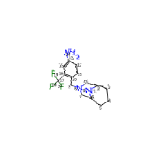 CN1C2CCCC1CN(Cc1ccc(N)cc1C(F)(F)F)C2